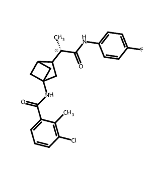 Cc1c(Cl)cccc1C(=O)NC12CC(C1)C([C@H](C)C(=O)Nc1ccc(F)cc1)C2